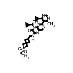 CCS(=O)(=O)N1CC2(CC(CNc3nc4cnc(-c5c(C)ncnc5C5CC5)nc4n(C(C)C4CC4)c3=O)C2)C1